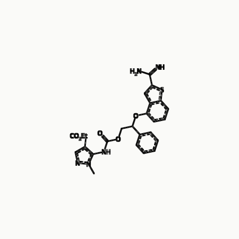 CCOC(=O)c1cnn(C)c1NC(=O)OCC(Oc1cccc2sc(C(=N)N)cc12)c1ccccc1